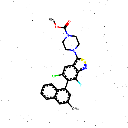 COc1cc(-c2c(Cl)cc3c(N4CCN(C(=O)OC(C)(C)C)CC4)snc3c2F)c2ccccc2c1